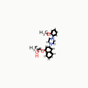 COc1ccccc1N1CCN(c2cc(OCC(C)O)c3ccccc3c2)CC1